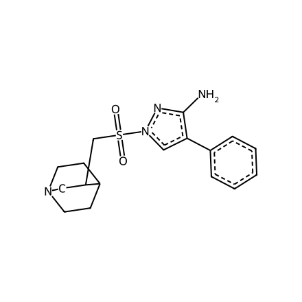 Nc1nn(S(=O)(=O)CC2CN3CCC2CC3)cc1-c1ccccc1